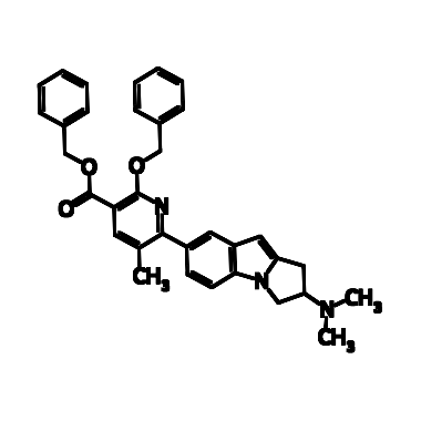 Cc1cc(C(=O)OCc2ccccc2)c(OCc2ccccc2)nc1-c1ccc2c(c1)cc1n2CC(N(C)C)C1